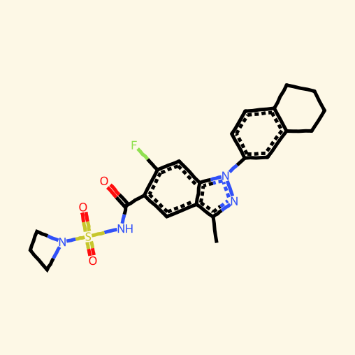 Cc1nn(-c2ccc3c(c2)CCCC3)c2cc(F)c(C(=O)NS(=O)(=O)N3CCC3)cc12